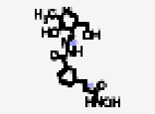 Cc1ncc(CO)c(/C=N/NC(=O)c2cccc(/C=C/C(=O)NO)c2)c1O